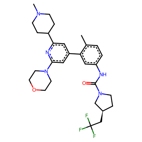 Cc1ccc(NC(=O)N2CC[C@@H](CC(F)(F)F)C2)cc1-c1cc(C2CCN(C)CC2)nc(N2CCOCC2)c1